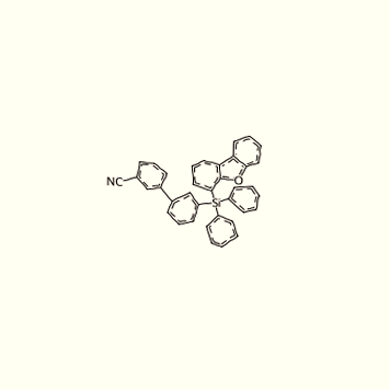 N#Cc1cccc(-c2cccc([Si](c3ccccc3)(c3ccccc3)c3cccc4c3oc3ccccc34)c2)c1